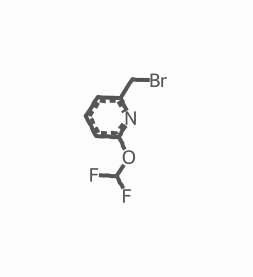 FC(F)Oc1cccc(CBr)n1